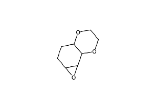 C1COC2C(CCC3OC32)O1